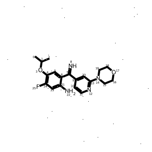 CC(C)Oc1cc(C(=N)c2ccnc(N3CCOCC3)c2)c(N)cc1F